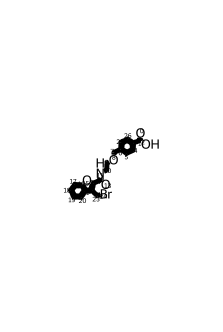 O=C(O)c1ccc(COCCNC(=O)c2oc3ccccc3c2CBr)cc1